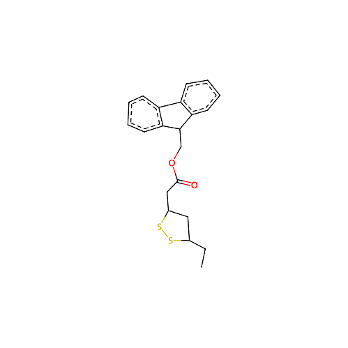 CCC1CC(CC(=O)OCC2c3ccccc3-c3ccccc32)SS1